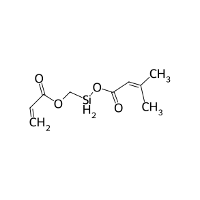 C=CC(=O)OC[SiH2]OC(=O)C=C(C)C